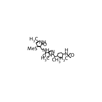 CSc1cc(C)[nH]c(=O)c1CNC(=O)c1cnc([C@H](C)C2CCC(NC3(C)COC3)CC2)n1C